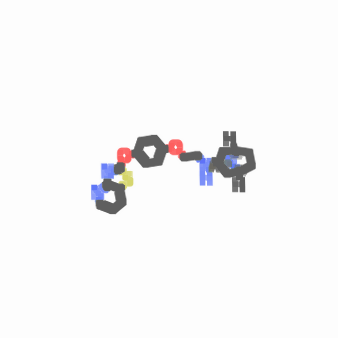 CC(=O)N1[C@@H]2CC[C@H]1CC(NCCOc1ccc(Oc3nc4ncccc4s3)cc1)C2